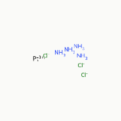 N.N.N.N.[Cl-].[Cl-].[Cl-].[Pt+3]